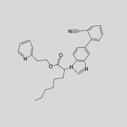 CCCCCCC(C(=O)OCCc1ccccn1)n1cnc2cc(-c3ccccc3C#N)ccc21